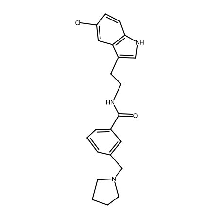 O=C(NCCc1c[nH]c2ccc(Cl)cc12)c1cccc(CN2CCCC2)c1